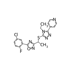 CCn1c(SC(C)c2noc(-c3cc(Cl)ccc3F)n2)nnc1-c1ccncc1